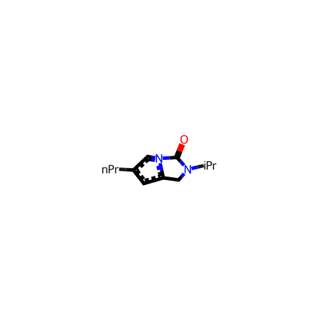 CCCc1cc2n(c1)C(=O)N(C(C)C)C2